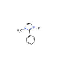 CCC[n+]1ccn(C)c1-c1ccccc1